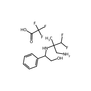 CC(CN)(NC(CO)c1ccccc1)C(F)F.O=C(O)C(F)(F)F